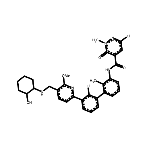 COc1nc(-c2cccc(-c3cccc(NC(=O)c4cc(Cl)nn(C)c4=O)c3C)c2Cl)ccc1CNC1CCCCC1O